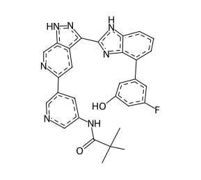 CC(C)(C)C(=O)Nc1cncc(-c2cc3c(-c4nc5c(-c6cc(O)cc(F)c6)cccc5[nH]4)n[nH]c3cn2)c1